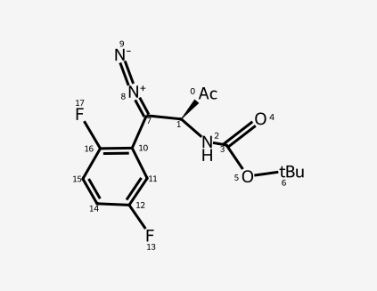 CC(=O)[C@@H](NC(=O)OC(C)(C)C)C(=[N+]=[N-])c1cc(F)ccc1F